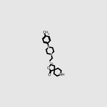 Cc1ccc(N2CCN(CC[C@@H]3CC4(CCNCC4)C(=O)O3)CC2)cc1